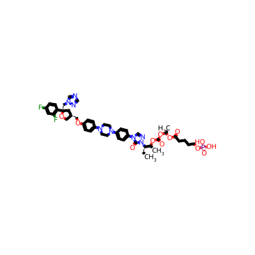 CC[C@@H](C(C)OC(=O)OC(C)OC(=O)CCCCOP(=O)(O)O)n1ncn(-c2ccc(N3CCN(c4ccc(OC[C@@H]5CO[C@@](Cn6cncn6)(c6ccc(F)cc6F)C5)cc4)CC3)cc2)c1=O